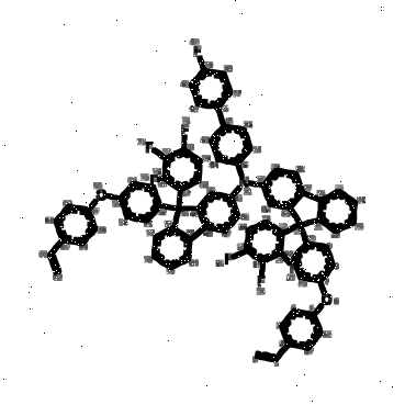 C=Cc1ccc(Oc2ccc(C3(c4ccc(F)c(F)c4F)c4ccccc4-c4ccc(N(c5ccc(-c6ccc(F)cc6)cc5)c5ccc6c(c5)C(c5ccc(Oc7ccc(C=C)cc7)cc5)(c5ccc(F)c(F)c5F)c5ccccc5-6)cc43)cc2)cc1